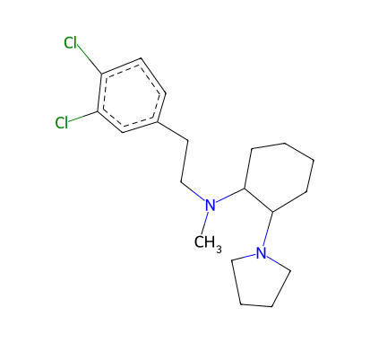 CN(CCc1ccc(Cl)c(Cl)c1)C1CCCCC1N1CCCC1